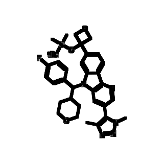 Cc1nnn(C)c1-c1cnc2c3ccc(C4(O[Si](C)(C)C(C)(C)C)COC4)cc3n(C(c3ccc(F)cc3)C3CCOCC3)c2c1